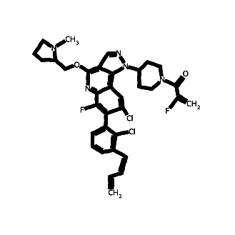 C=C/C=C\c1cccc(-c2c(Cl)cc3c(nc(OCC4CCCN4C)c4cnn(C5CCN(C(=O)C(=C)F)CC5)c43)c2F)c1Cl